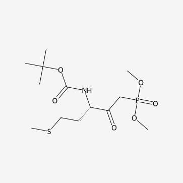 COP(=O)(CC(=O)[C@H](CCSC)NC(=O)OC(C)(C)C)OC